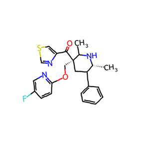 CC1N[C@H](C)C(c2ccccc2)C[C@@]1(COc1ccc(F)cn1)C(=O)c1cscn1